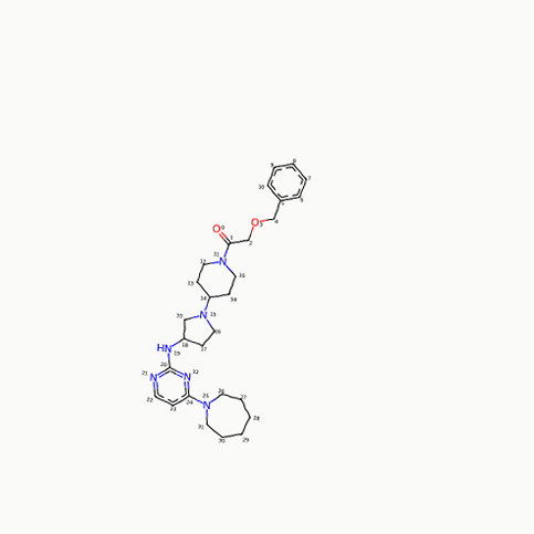 O=C(COCc1ccccc1)N1CCC(N2CCC(Nc3nccc(N4CCCCCC4)n3)C2)CC1